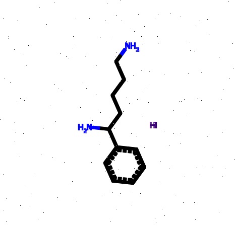 I.NCCCCC(N)c1ccccc1